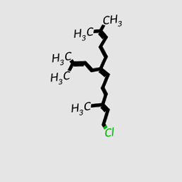 CC(C)=CCC/C(=C/CC/C(C)=C/CCl)CC=C(C)C